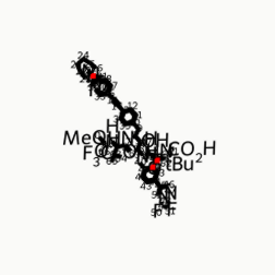 COC(=O)NC(C(=O)NC(Cc1ccc(C#Cc2ccc(N3CC4CCC(C3)N4C3COC3)nc2)cc1)C(O)CN(Cc1ccc(-c2cnn(C(F)F)c2)cc1F)NC(=O)C(NC(=O)O)C(C)(C)C)C(C)(C)C(F)(F)F